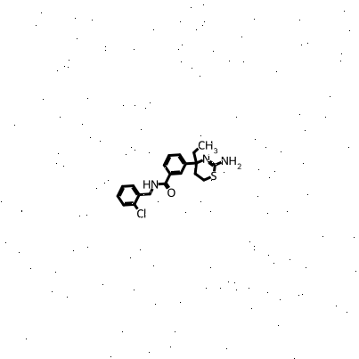 CCC1(c2cccc(C(=O)NCc3ccccc3Cl)c2)CCSC(N)=N1